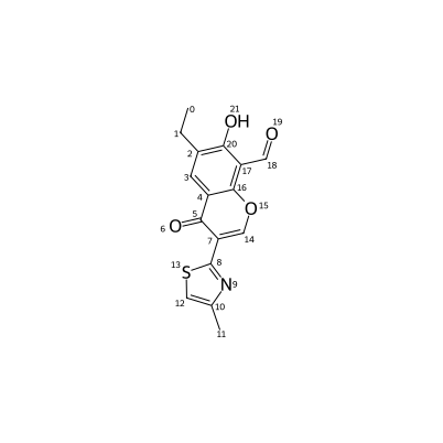 CCc1cc2c(=O)c(-c3nc(C)cs3)coc2c(C=O)c1O